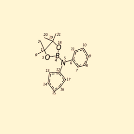 CC1(C)OB(N(c2ccccc2)c2ccccc2)OC1(C)C